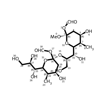 CO[C@]1(OC=O)C[C@@H](O)[C@@H](C)C([C@H](O)[C@@H](CO)O[C@]2(OC=O)C[C@@H](O)[C@@H](C)C([C@H](O)[C@H](O)CO)O2)O1